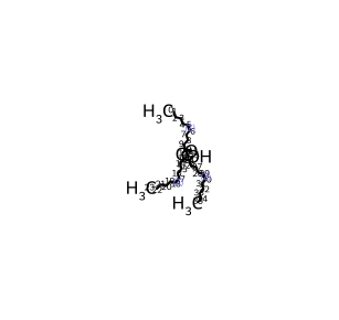 CCCCC/C=C\CCCC(=O)OC(CCC/C=C\CCCCC)C(O)CCC/C=C\CCCCC